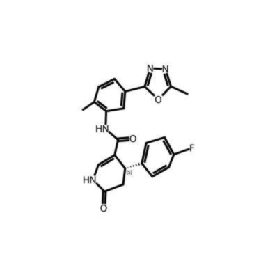 Cc1nnc(-c2ccc(C)c(NC(=O)C3=CNC(=O)C[C@H]3c3ccc(F)cc3)c2)o1